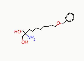 NC(CO)(CO)CCCCCCCCOCc1ccccc1